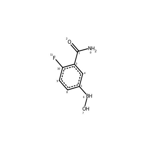 NC(=O)c1cc(BO)ccc1F